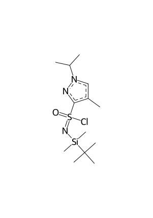 Cc1cn(C(C)C)nc1S(=O)(Cl)=N[Si](C)(C)C(C)(C)C